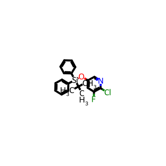 CC(C)(C)[Si](Oc1cnc(Cl)c(F)c1)(c1ccccc1)c1ccccc1